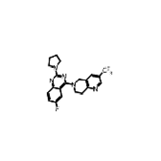 Fc1ccc2nc(N3CCCC3)nc(N3CCc4ncc(C(F)(F)F)cc4C3)c2c1